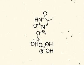 Cc1cn([C@@H](C)O[C@@H](CO)COP(=O)(O)O)c(=O)[nH]c1=O